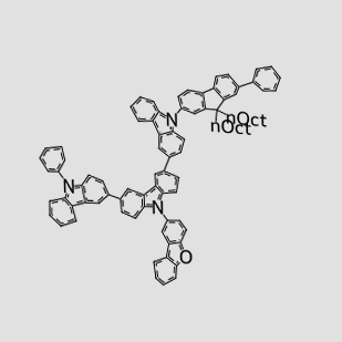 CCCCCCCCC1(CCCCCCCC)c2cc(-c3ccccc3)ccc2-c2ccc(-n3c4ccccc4c4cc(-c5ccc6c(c5)c5cc(-c7ccc8c(c7)c7ccccc7n8-c7ccccc7)ccc5n6-c5ccc6oc7ccccc7c6c5)ccc43)cc21